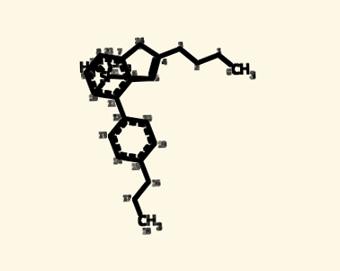 CCCCC1=C2c3c(ccc(c3-c3ccc(CCC)cc3)[Si]2(C)C)[CH]1